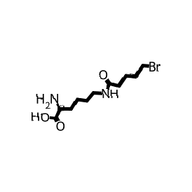 N[C@@H](CCCCNC(=O)CCCCBr)C(=O)O